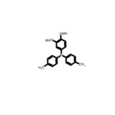 COc1ccc(N(c2ccc(C)cc2)c2ccc(C)cc2)cc1OC